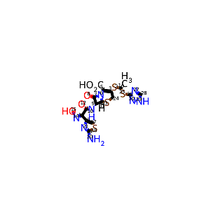 CC(SC1=C(C(=O)O)N2C(=O)[C@@H](NC(=O)/C(=N\O)c3csc(N)n3)[C@@H]2SC1)Sc1nc[nH]n1